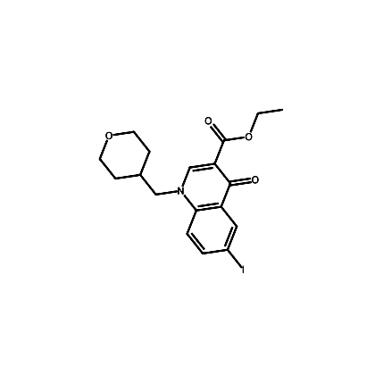 CCOC(=O)c1cn(CC2CCOCC2)c2ccc(I)cc2c1=O